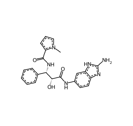 Cn1cccc1C(=O)N[C@@H](c1ccccc1)[C@@H](O)C(=O)Nc1ccc2nc(N)[nH]c2c1